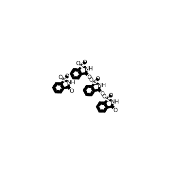 O=C1NS(=O)(=O)c2ccccc21.O=C1NS(=O)(=O)c2ccccc21.O=C1NS(=O)(=O)c2ccccc21.O=C1NS(=O)(=O)c2ccccc21